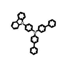 C1=CC2c3ccccc3N(c3ccc(N(c4ccc(-c5ccccc5)cc4)c4ccc(-c5ccccc5)cc4)cc3)C2C=C1